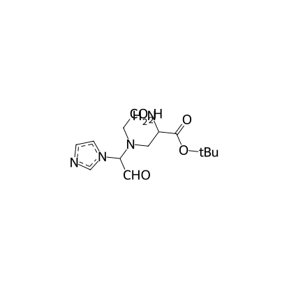 CC(C)(C)OC(=O)C(N)CN(CC(=O)O)C(C=O)n1ccnc1